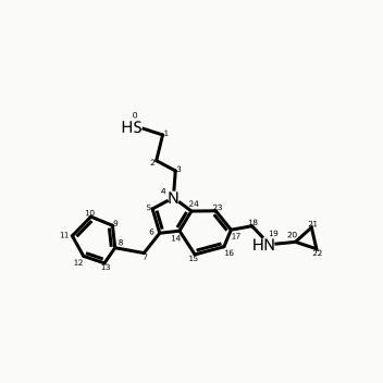 SCCCn1cc(Cc2ccccc2)c2ccc(CNC3CC3)cc21